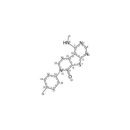 CNc1ncnc2sc3c(=O)n(-c4ccc(C)cc4)ccc3c12